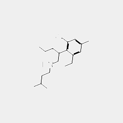 CCCC(CNCCC(C)C)c1c(Cl)cc(C)cc1CC